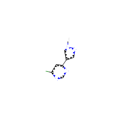 CC(C)n1cc(-c2cc(Cl)ncn2)cn1